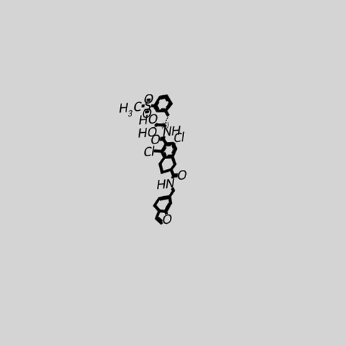 CS(=O)(=O)c1cccc(C[C@H](NC(=O)c2c(Cl)cc3c(c2Cl)CCC(C(=O)NCC2=CCC4C=COC4=C2)C3)C(O)O)c1